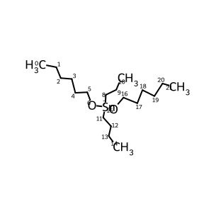 CCCCCC[O][Sn]([CH2]CC)([CH2]CCC)[O]CCCCCC